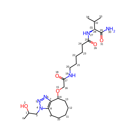 CC(O)Cn1nnc2c1CCCCCC2OCC(=O)NCCCCCC(=O)N[C@H](C(N)=O)C(C)C